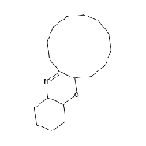 C1CCCCCC2OC3CCCCC3N=C2CCCC1